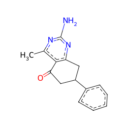 Cc1nc(N)nc2c1C(=O)CC(c1ccccc1)C2